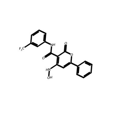 O=C(Nc1cccc(C(F)(F)F)c1)c1c(NO)cc(-c2ccccc2)oc1=O